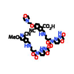 COc1cc2c(c(C#N)n1)CC(CNCCC1CN(c3ccc4c(n3)NC(=O)CO4)C(=O)O1)C2.N#Cc1c(OCCN2CCOCC2)ccc2c1CC(CNCCC1CN(c3ccc4c(n3)NC(=O)CO4)C(=O)O1)C2C(=O)O